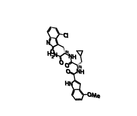 COc1cccc2[nH]c(C(=O)N[C@@H](CC3CC3)C(=O)N[C@@H](CC3=c4c(Cl)cccc4=NC3=O)C(N)=O)cc12